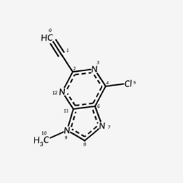 C#Cc1nc(Cl)c2ncn(C)c2n1